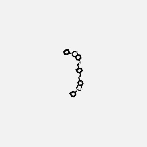 C(=Nc1ccc2c(c1)CN(c1ccccc1)CO2)c1ccc(C=Nc2ccc3c(c2)CN(c2ccccc2)CO3)cc1